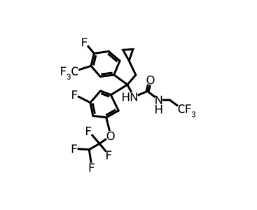 O=C(NCC(F)(F)F)NC(CC1CC1)(c1cc(F)cc(OC(F)(F)C(F)F)c1)c1ccc(F)c(C(F)(F)F)c1